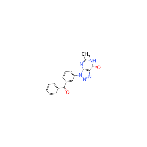 Cc1nc2c(nnn2-c2cccc(C(=O)c3ccccc3)c2)c(=O)[nH]1